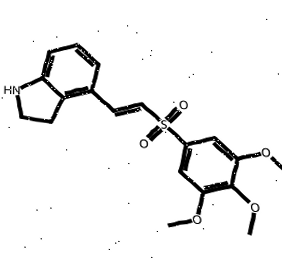 COc1cc(S(=O)(=O)/C=C/c2cccc3c2CCN3)cc(OC)c1OC